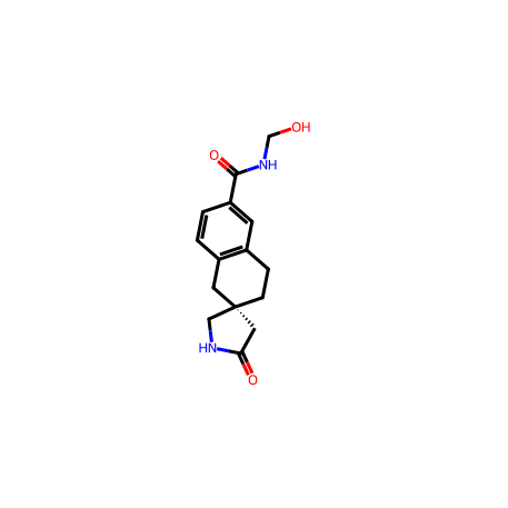 O=C1C[C@]2(CCc3cc(C(=O)NCO)ccc3C2)CN1